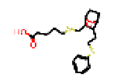 O=C(O)CCCCSCC1C2CCC(O2)C1CCSc1ccccc1